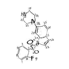 O=S(=O)(c1ccccc1F)n1ccc2ccc(N3CCNCC3)cc21